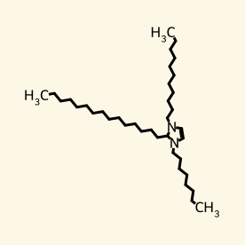 CCCCCCCCCCCCCCCC1N(CCCCCCCC)C=CN1CCCCCCCCCCC